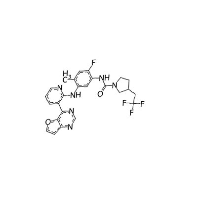 Cc1cc(F)c(NC(=O)N2CCC(CC(F)(F)F)C2)cc1Nc1ncccc1-c1ncnc2ccoc12